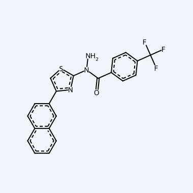 NN(C(=O)c1ccc(C(F)(F)F)cc1)c1nc(-c2ccc3ccccc3c2)cs1